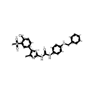 Cc1nc(NC(=O)Nc2ccc(OCc3ccccc3)cc2)sc1-c1ccc(Cl)c(S(C)(=O)=O)c1